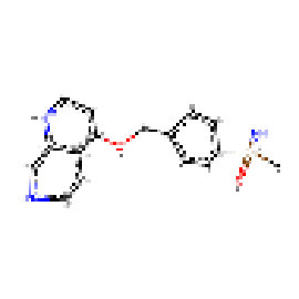 CS(=N)(=O)c1ccc(COc2ccnc3cnccc23)cc1